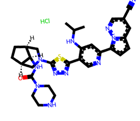 CC(C)Nc1cc(-c2ccc3cc(C#N)cnn23)ncc1-c1nnc(N2C[C@H]3CC[C@@H](C2)[C@H]3NC(=O)N2CCNCC2)s1.Cl